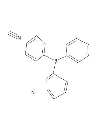 C#N.[Ni].c1ccc(B(c2ccccc2)c2ccccc2)cc1